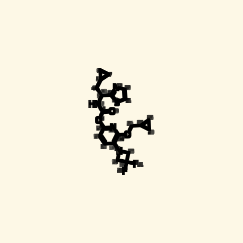 O=C(N[C@@H](CC1CC1)c1nccs1)Oc1ccc(N2CC(F)(F)C2)c(OCC2CC2)n1